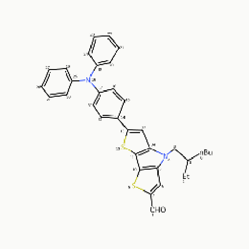 CCCCC(CC)Cn1c2cc(C=O)sc2c2sc(-c3ccc(N(c4ccccc4)c4ccccc4)cc3)cc21